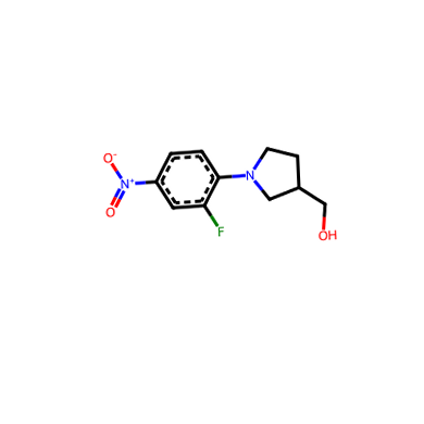 O=[N+]([O-])c1ccc(N2CCC(CO)C2)c(F)c1